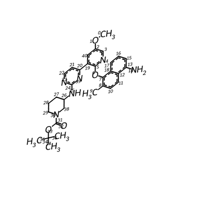 COc1cnc(Oc2c(C)ccc3c(N)cccc23)c(-c2ccnc(NC3CCCN(C(=O)OC(C)(C)C)C3)n2)c1